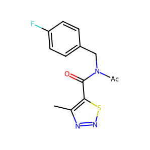 CC(=O)N(Cc1ccc(F)cc1)C(=O)c1snnc1C